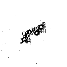 C=C1CCC(N2Cc3cc(C[C@H]4CCC[C@H](O)[C@@H]4NC4CCC(F)(F)CC4)ccc3C2=O)C(=O)N1